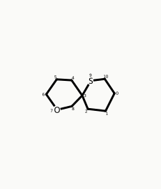 C1CCC2(CCCOC2)SC1